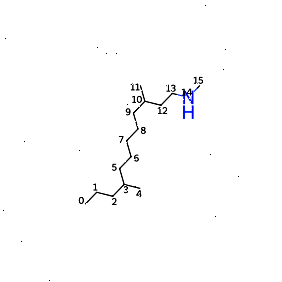 CCCC(C)CCCCCC(C)CCNC